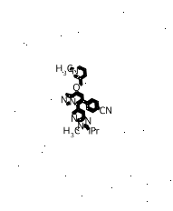 CC(C)c1nc2cc(-c3c(-c4ccc(C#N)cc4)cc(OCC4CCCN(C)C4)c4cncn34)cnc2n1C